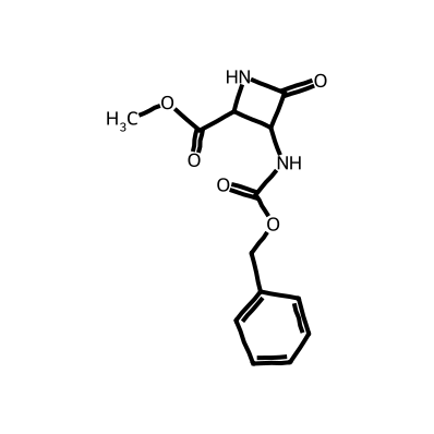 COC(=O)C1NC(=O)C1NC(=O)OCc1ccccc1